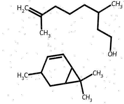 C=C(C)CCCC(C)CCO.CC1C=CC2C(C1)C2(C)C